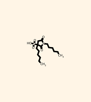 CCCCCCN1C(=O)CC(CCCCCC)(S(=O)(=O)O)C1=O